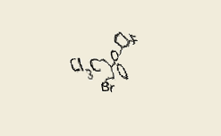 O=C(OCc1cccc(F)c1)C(CCBr)CC(Cl)(Cl)Cl